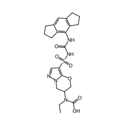 CCN(C(=O)O)C1COc2c(S(=O)(=O)NC(=O)Nc3c4c(cc5c3CCC5)CCC4)cnn2C1